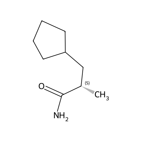 C[C@@H](CC1CCCC1)C(N)=O